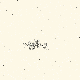 CC(=O)[C@H](C)CCCCn1c(=O)c2[nH]c(NC(=O)CCl)nc2n(C)c1=O